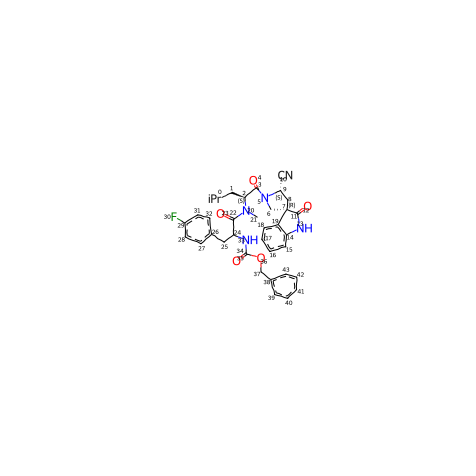 CC(C)C[C@@H](C(=O)N1C[C@]2(C[C@H]1C#N)C(=O)Nc1ccccc12)N(C)C(=O)C(Cc1ccc(F)cc1)NC(=O)OCc1ccccc1